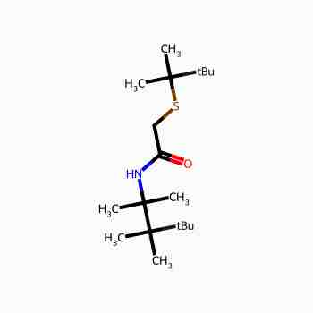 CC(C)(C)C(C)(C)SCC(=O)NC(C)(C)C(C)(C)C(C)(C)C